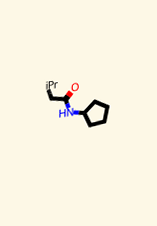 CC(C)CC(=O)NC1CCCC1